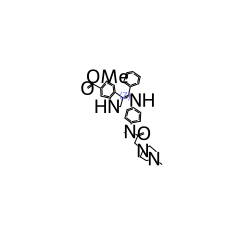 COC(=O)c1ccc2c(c1)NC/C2=C(\Nc1ccc(N(C)C(=O)CN2CCN(C)CC2)cc1)c1ccccc1